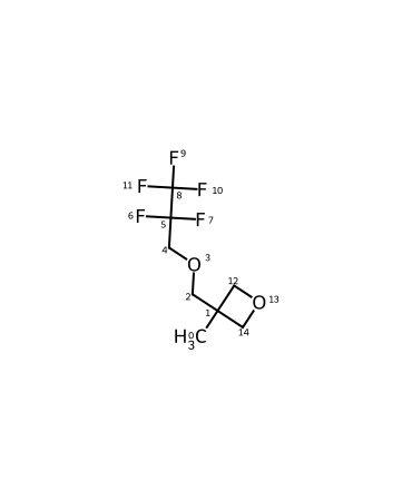 CC1(COCC(F)(F)C(F)(F)F)COC1